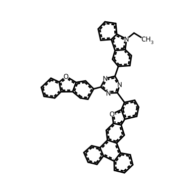 CCn1c2ccccc2c2cc(-c3nc(-c4ccc5c(c4)oc4ccccc45)nc(-c4cccc5c4oc4cc6c7ccccc7c7ccccc7c6cc45)n3)ccc21